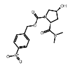 CN(C)C(=O)[C@@H]1C[C@H](O)CN1C(=O)OCc1ccc([N+](=O)[O-])cc1